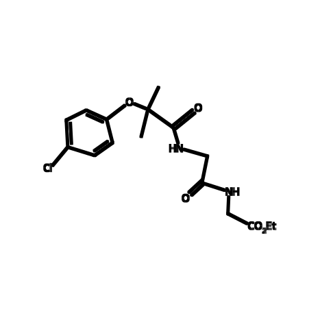 CCOC(=O)CNC(=O)CNC(=O)C(C)(C)Oc1ccc(Cl)cc1